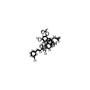 COc1cc(OC(C)=O)c2c3c1O[C@H]1[C@@H](N(C)C(=O)C=Cc4cccc(C)c4)CC[C@H]4[C@@H](C2)N(CC2CC2)CC[C@@]341